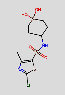 Cc1nc(Cl)sc1S(=O)(=O)NC1CCS(O)(O)CC1